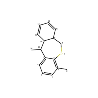 Cc1cccc2c1SCC1C=CC=CC1C2C